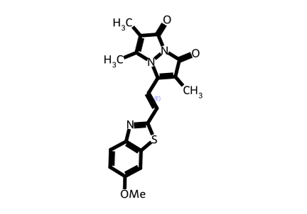 COc1ccc2nc(/C=C/c3c(C)c(=O)n4c(=O)c(C)c(C)n34)sc2c1